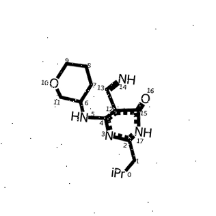 CC(C)Cc1nc(NC2CCCOC2)c(C=N)c(=O)[nH]1